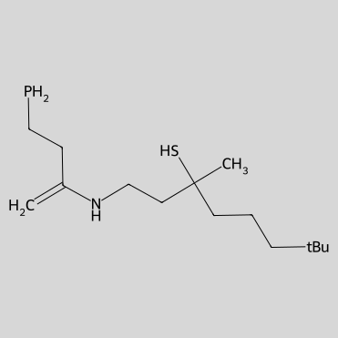 C=C(CCP)NCCC(C)(S)CCCC(C)(C)C